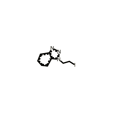 ICCn1nnc2ccccc21